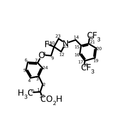 CC(Cc1cccc(OCC2(F)CN(Cc3cc(C(F)(F)F)ccc3C(F)(F)F)C2)c1)C(=O)O